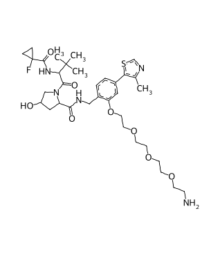 Cc1ncsc1-c1ccc(CNC(=O)C2CC(O)CN2C(=O)C(NC(=O)C2(F)CC2)C(C)(C)C)c(OCCOCCOCCOCCN)c1